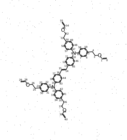 C=COCCc1ccc(N(c2ccc(/C=C/c3ccc(N(c4ccc(CCOC=C)cc4)c4ccc(CCOC=C)cc4)cc3)cc2)c2ccc(CCOC=C)cc2)cc1